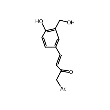 CC(=O)CC(=O)C=Cc1ccc(O)c(CO)c1